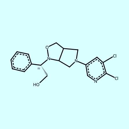 OC[C@H](c1ccccc1)N1OCC2CN(c3cnc(Cl)c(Cl)c3)CC21